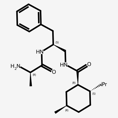 CC(C)[C@@H]1CC[C@@H](C)C[C@H]1C(=O)NC[C@H](Cc1ccccc1)NC(=O)[C@@H](C)N